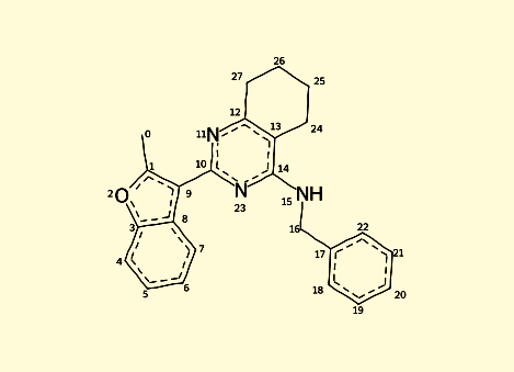 Cc1oc2ccccc2c1-c1nc2c(c(NCc3ccccc3)n1)CCCC2